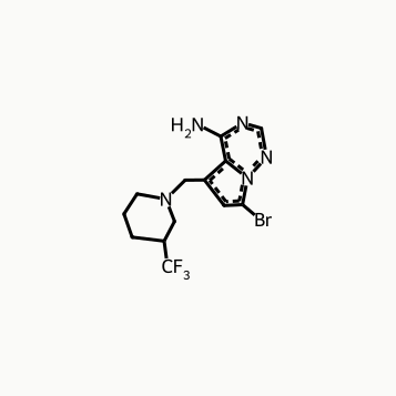 Nc1ncnn2c(Br)cc(CN3CCCC(C(F)(F)F)C3)c12